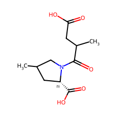 CC1C[C@@H](C(=O)O)N(C(=O)C(C)CC(=O)O)C1